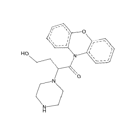 O=C(C(CCO)N1CCNCC1)N1c2ccccc2Oc2ccccc21